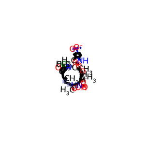 COc1cc2cc(c1Cl)N(C)CC[C@H](OC(=O)Nc1ccc([N+](=O)[O-])cc1C)[C@]1(C)O[C@H]1[C@H](C)[C@@H]1C[C@@](O)(NC(=O)O1)[C@H](OC)/C=C/C=C(\C)C2